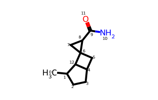 CC1CCC2CC3(CC3C(N)=O)C12